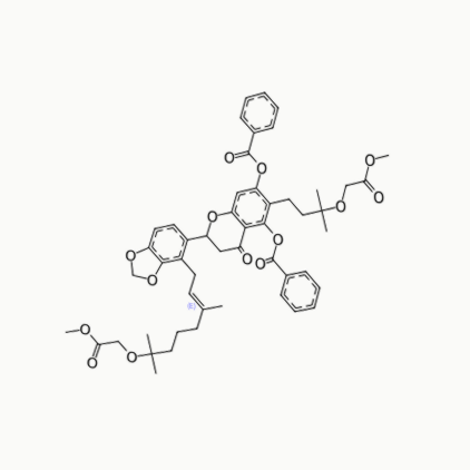 COC(=O)COC(C)(C)CCC/C(C)=C/Cc1c(C2CC(=O)c3c(cc(OC(=O)c4ccccc4)c(CCC(C)(C)OCC(=O)OC)c3OC(=O)c3ccccc3)O2)ccc2c1OCO2